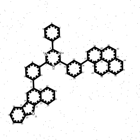 c1ccc(-c2nc(-c3cccc(-c4cc5c6ccccc6oc5c5ccccc45)c3)nc(-c3cccc(-c4ccc5ccc6cccc7ccc4c5c67)c3)n2)cc1